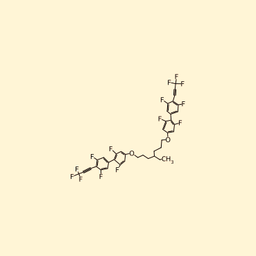 CCC(CCCOc1cc(F)c(-c2cc(F)c(C#CC(F)(F)F)c(F)c2)c(F)c1)CCCOc1cc(F)c(-c2cc(F)c(C#CC(F)(F)F)c(F)c2)c(F)c1